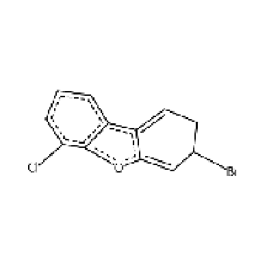 Clc1cccc2c3c(oc12)=CC(Br)CC=3